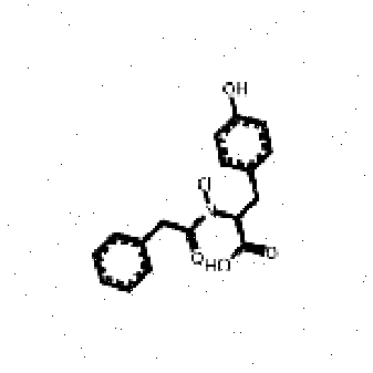 O=C(O)C(Cc1ccc(O)cc1)N(Cl)C(=O)Cc1ccccc1